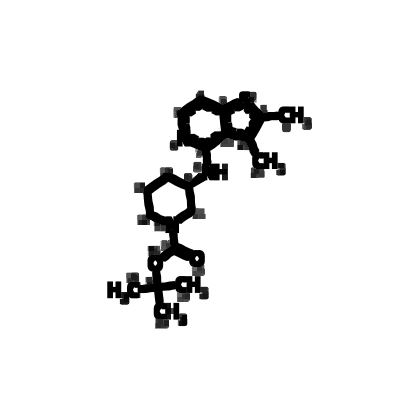 Cc1sc2ccnc(N[C@@H]3CCCN(C(=O)OC(C)(C)C)C3)c2c1C